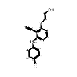 N#Cc1c(OCCO)ccnc1Nc1ccc(Cl)cc1